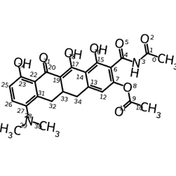 CC(=O)NC(=O)c1c(OC(C)=O)cc2c(c1O)C(O)=C1C(=O)c3c(O)ccc(N(C)C)c3CC1C2